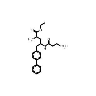 CC(CC(Cc1ccc(-c2ccccc2)cc1)NC(=O)CCC(=O)O)C(=O)OCI